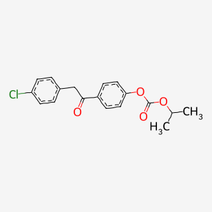 CC(C)OC(=O)Oc1ccc(C(=O)Cc2ccc(Cl)cc2)cc1